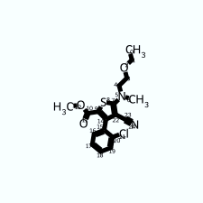 CCOCCN(C)c1sc(C(=O)OC)c(-c2ccccc2Cl)c1C#N